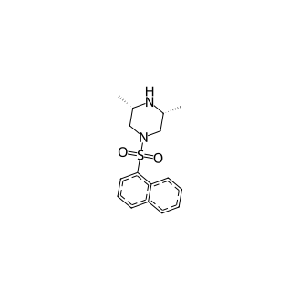 C[C@@H]1CN(S(=O)(=O)c2cccc3ccccc23)C[C@H](C)N1